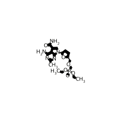 CCOP(=O)(COC[C@@H]1C=C[C@H](n2cc(C(N)=O)c3c(N)nc(C)nc32)O1)OCC